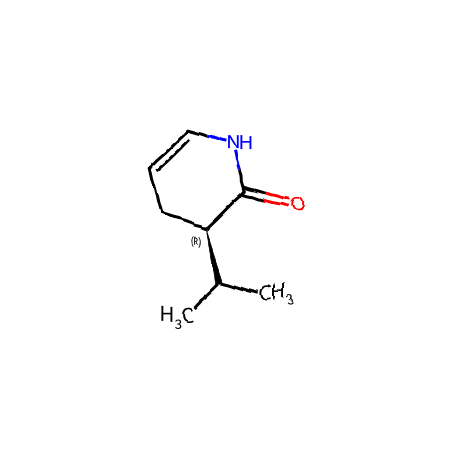 CC(C)[C@H]1CC=CNC1=O